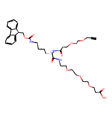 C#CCOCCOCCC(=O)N[C@@H](CCCCNC(=O)OCC1c2ccccc2-c2ccccc21)C(=O)NCCOCCOCCOCCC(=O)O